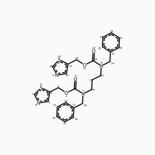 O=C(OCc1cncs1)N(CCCN(Cc1ccccc1)C(=O)OCc1cncs1)Cc1ccccc1